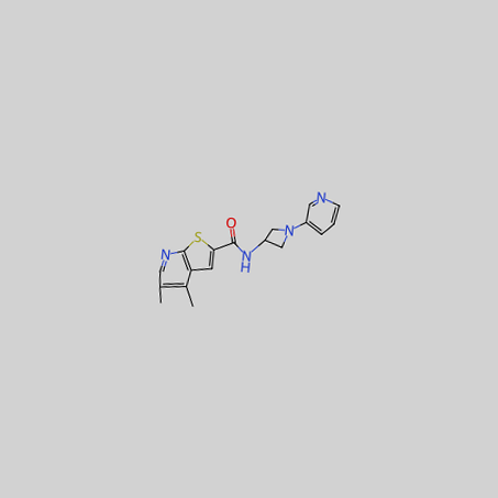 Cc1cnc2sc(C(=O)NC3CN(c4cccnc4)C3)cc2c1C